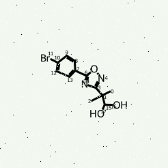 CC(C)(c1noc(-c2ccc(Br)cc2)n1)C(O)O